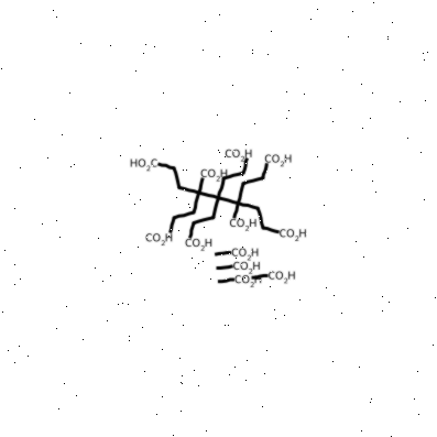 CC(=O)O.CC(=O)O.CC(=O)O.CC(=O)O.O=C(O)CCC(CCC(=O)O)(C(=O)O)C(CCC(=O)O)(CCC(=O)O)C(CCC(=O)O)(CCC(=O)O)C(=O)O